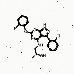 C[C@H](O)CNc1nc(Oc2ccccc2F)nc2[nH]nc(-c3ccccc3Cl)c12